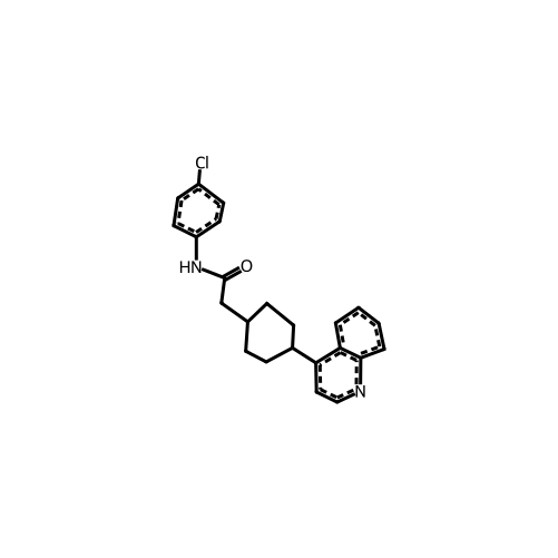 O=C(CC1CCC(c2ccnc3ccccc23)CC1)Nc1ccc(Cl)cc1